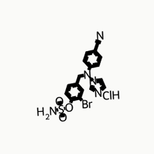 Cl.N#Cc1ccc(N(Cc2ccc(OS(N)(=O)=O)c(Br)c2)n2ccnc2)cc1